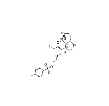 Cc1ccc(S(=O)(=O)OCCOCC2=C(CF)O[C@@H]3O[C@]4(C)CCC5[C@H](C)CC[C@@H]2[C@]53OO4)cc1